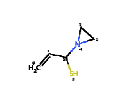 C=CC(S)N1CC1